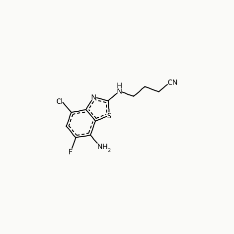 N#CCCCNc1nc2c(Cl)cc(F)c(N)c2s1